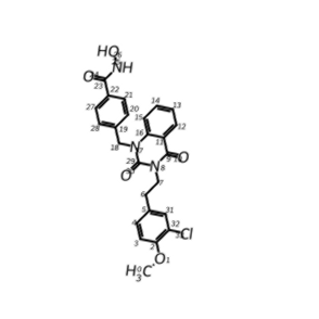 COc1ccc(CCn2c(=O)c3ccccc3n(Cc3ccc(C(=O)NO)cc3)c2=O)cc1Cl